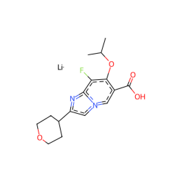 CC(C)Oc1c(C(=O)O)cn2cc(C3CCOCC3)nc2c1F.[Li]